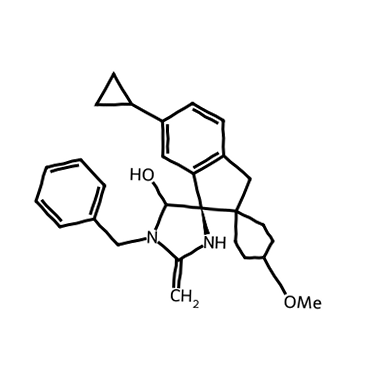 C=C1N[C@]2(c3cc(C4CC4)ccc3CC23CCC(OC)CC3)C(O)N1Cc1ccccc1